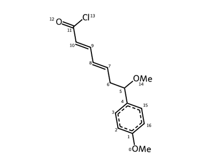 COc1ccc(C(CC=CC=CC(=O)Cl)OC)cc1